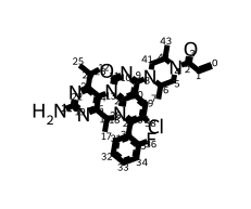 C=CC(=O)N1CC(C)N(c2nc(=O)n(-c3c(C(C)C)nc(N)nc3C(C)C)c3nc(-c4ccccc4F)c(Cl)cc23)CC1C